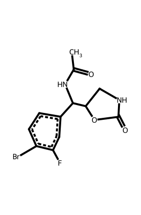 CC(=O)NC(c1ccc(Br)c(F)c1)C1CNC(=O)O1